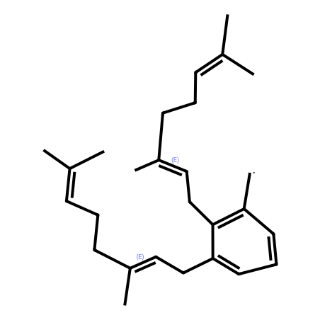 [CH2]c1cccc(C/C=C(\C)CCC=C(C)C)c1C/C=C(\C)CCC=C(C)C